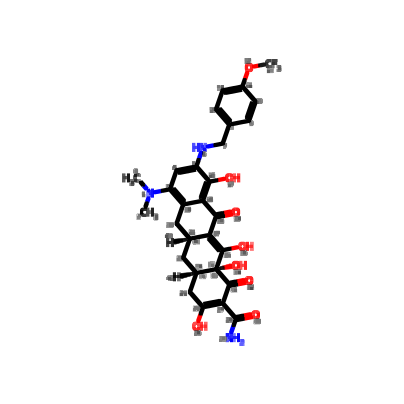 CN(C)c1cc(NCc2ccc(OC(F)(F)F)cc2)c(O)c2c1C[C@H]1C[C@H]3CC(O)=C(C(N)=O)C(=O)[C@@]3(O)C(O)=C1C2=O